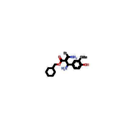 CC/C(N)=C(\C(=O)OCC1CCCCC1)C(N)c1ccc(O)c(OC)c1